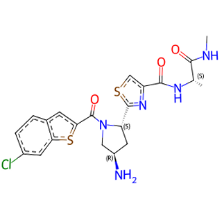 CNC(=O)[C@H](C)NC(=O)c1csc([C@@H]2C[C@@H](N)CN2C(=O)c2cc3ccc(Cl)cc3s2)n1